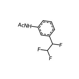 CC(=O)Nc1cccc(C(F)C(F)F)c1